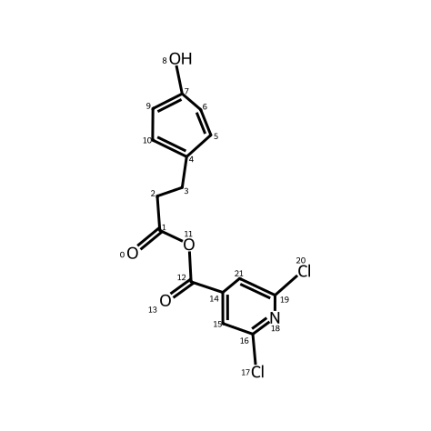 O=C(CCc1ccc(O)cc1)OC(=O)c1cc(Cl)nc(Cl)c1